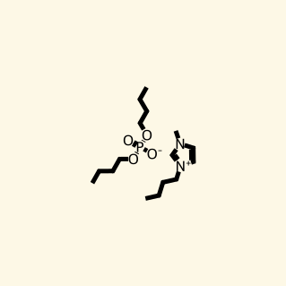 CCCCOP(=O)([O-])OCCCC.CCCC[n+]1ccn(C)c1